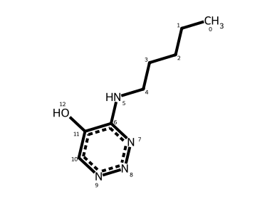 CCCCCNc1nnncc1O